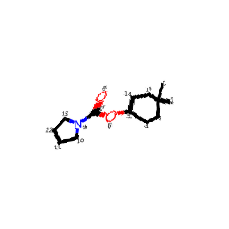 CC1(C)CCC(OC(=O)N2CCCC2)CC1